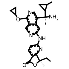 CC[C@@]1(C)OC(=O)c2ccc(Nc3cc4c([C@](C)(N)C5CC5C)cnc(OC5CC5)c4cn3)nc21